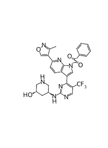 Cc1nocc1-c1ccc2c(-c3nc(N[C@@H]4CNC[C@H](O)C4)ncc3C(F)(F)F)cn(S(=O)(=O)c3ccccc3)c2n1